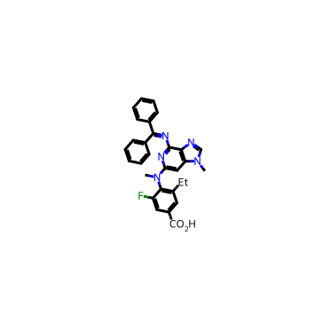 CCc1cc(C(=O)O)cc(F)c1N(C)c1cc2c(ncn2C)c(N=C(c2ccccc2)c2ccccc2)n1